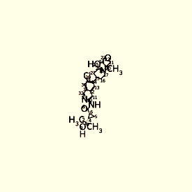 CC(C)(O)[C@H]1C[C@@H]1C(=O)Nc1cc2cc(C3CCN([C@]4(C)COC[C@@H]4O)CC3)c(Cl)cc2cn1